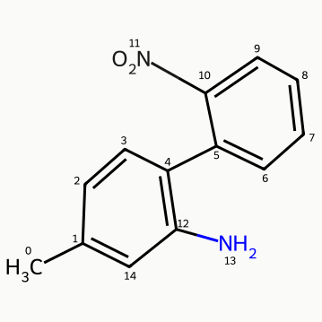 Cc1ccc(-c2ccccc2[N+](=O)[O-])c(N)c1